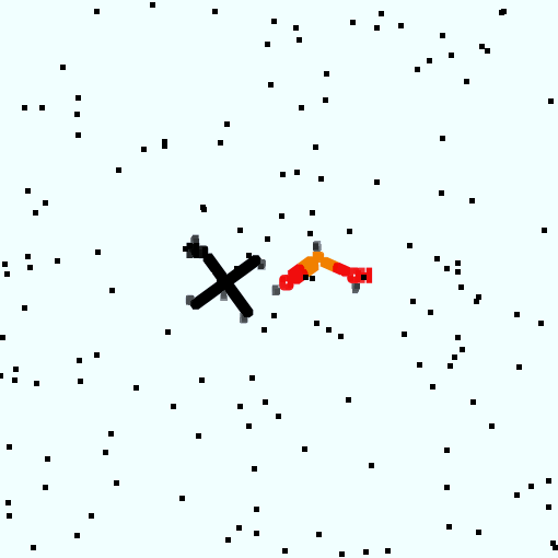 C[C](C)(C)[Na].O=PO